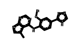 CCOc1cc(-c2nnc[nH]2)ccc1Nc1ncnc2scc(C)c12